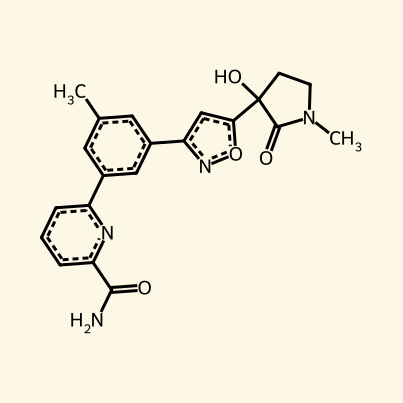 Cc1cc(-c2cc(C3(O)CCN(C)C3=O)on2)cc(-c2cccc(C(N)=O)n2)c1